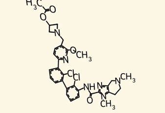 COc1nc(-c2cccc(-c3cccc(NC(=O)c4nc5c(n4C)CCN(C)C5)c3Cl)c2Cl)ccc1CN1CC(OC(C)=O)C1